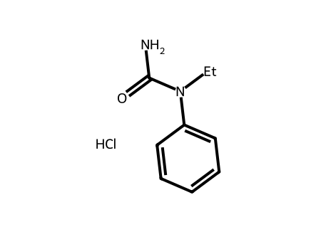 CCN(C(N)=O)c1ccccc1.Cl